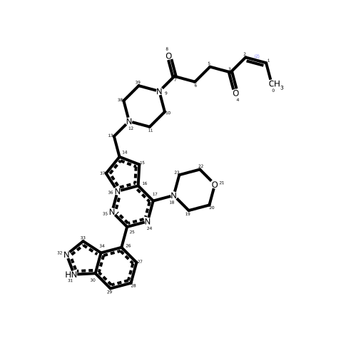 C/C=C\C(=O)CCC(=O)N1CCN(Cc2cc3c(N4CCOCC4)nc(-c4cccc5[nH]ncc45)nn3c2)CC1